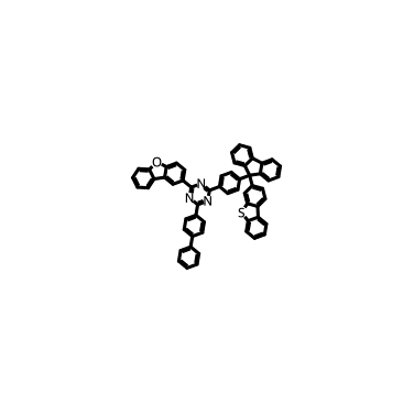 c1ccc(-c2ccc(-c3nc(-c4ccc(C5(c6ccc7c(c6)sc6ccccc67)c6ccccc6-c6ccccc65)cc4)nc(-c4ccc5oc6ccccc6c5c4)n3)cc2)cc1